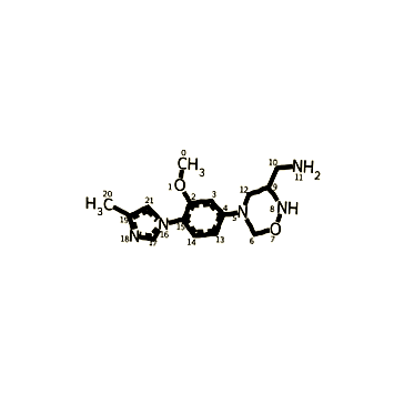 COc1cc(N2CONC(CN)C2)ccc1-n1cnc(C)c1